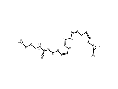 CCC1OC1C/C=C\C/C=C\C/C=C\C/C=C\CCCC(=O)NCCCO